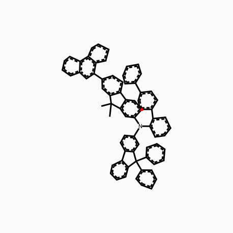 CC1(C)c2cc(-c3cc4ccccc4c4ccccc34)ccc2-c2ccc(N(c3ccc4c(c3)C(c3ccccc3)(c3ccccc3)c3ccccc3-4)c3ccccc3-c3ccc(-c4ccccc4)cc3)cc21